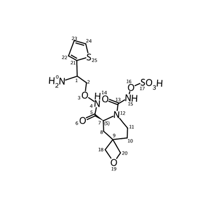 NC(CONC(=O)[C@@H]1CC2(CCN1C(=O)NOS(=O)(=O)O)COC2)c1cccs1